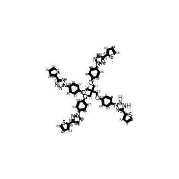 c1csc(C2=NN(c3ccc(OCC(COc4ccc(-n5nnc(-c6cccs6)n5)cc4)(COc4ccc(-n5nnc(-c6cccs6)n5)cc4)COc4ccc(-n5nnc(-c6cccs6)n5)cc4)cc3)NN2)c1